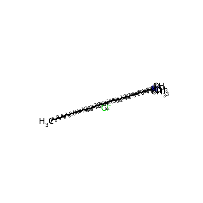 CCCCCCCCCCCCCCCCCCCCCCCCCCCCCCCCCCCCCCCCCCCCCCCC[N+](C)(C)C.[Cl-]